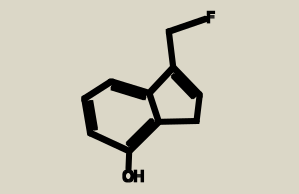 Oc1cccc2c1CC=C2CF